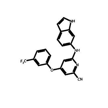 N#Cc1cc(Oc2cccc(C(F)(F)F)c2)cc(Nc2ccc3cc[nH]c3c2)n1